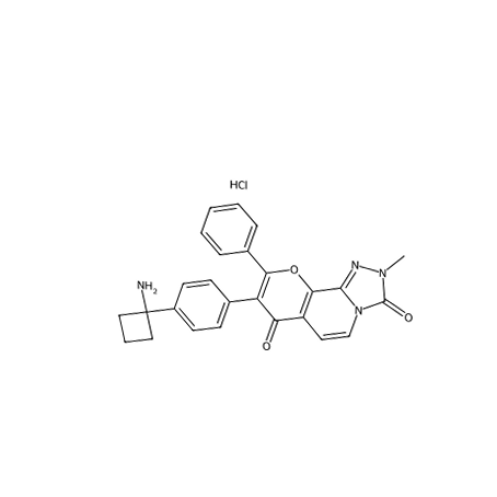 Cl.Cn1nc2c3oc(-c4ccccc4)c(-c4ccc(C5(N)CCC5)cc4)c(=O)c3ccn2c1=O